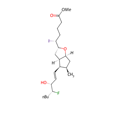 CCCC[C@@H](F)[C@H](O)/C=C/[C@H]1[C@H]2C[C@H]([C@H](I)CCCC(=O)OC)O[C@H]2C[C@H]1C